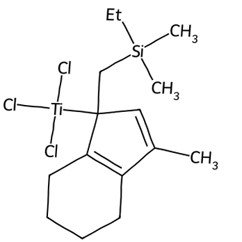 CC[Si](C)(C)C[C]1([Ti]([Cl])([Cl])[Cl])C=C(C)C2=C1CCCC2